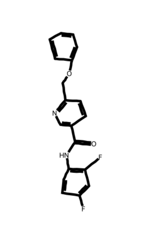 O=C(Nc1ccc(F)cc1F)c1ccc(COc2ccccc2)nc1